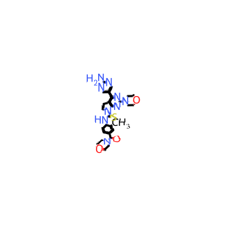 Cc1cc(C(=O)N2CCOCC2)ccc1NC(=S)N1CCc2c(-c3cnc(N)nc3)nc(N3CCOCC3)nc21